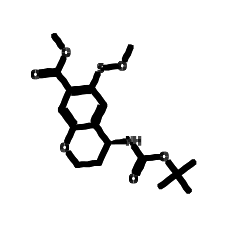 COSc1cc2c(cc1C(=O)OC)OCC[C@@H]2NC(=O)OC(C)(C)C